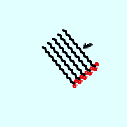 CCCCCCCCCCCCCCCCCC(=O)[O-].CCCCCCCCCCCCCCCCCC(=O)[O-].CCCCCCCCCCCCCCCCCC(=O)[O-].CCCCCCCCCCCCCCCCCC(=O)[O-].CCCCCCCCCCCCCCCCCC(=O)[O-].[La+3].[Zn+2]